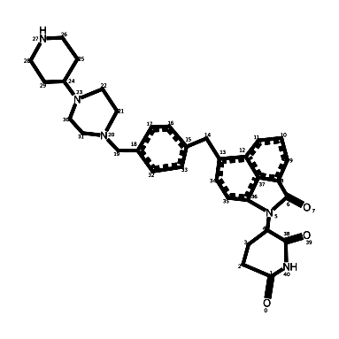 O=C1CCC(N2C(=O)c3cccc4c(Cc5ccc(CN6CCN(C7CCNCC7)CC6)cc5)ccc2c34)C(=O)N1